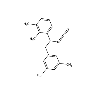 Cc1cc(C)cc(CC(N=C=S)c2cccc(C)c2C)c1